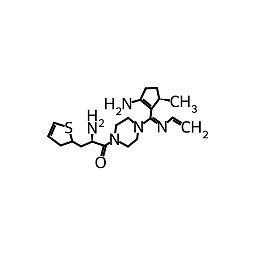 C=C/N=C(\C1=C(N)CC[C@H]1C)N1CCN(C(=O)[C@H](N)CC2CC=CS2)CC1